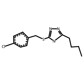 CCCCC1=NN=C(SCc2ccc(Cl)cc2)[N]1